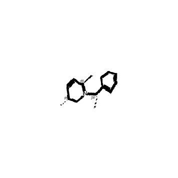 C[C@@H]1C=C[C@@H](C)N([C@@H](C)c2ccccc2)C1